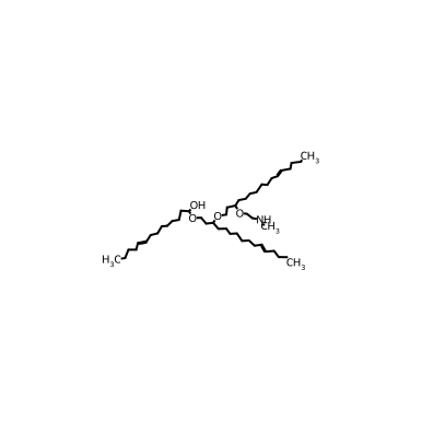 CCCC/C=C/CCCCCCCC(O)OCCC(CCCCCCC/C=C/CCCC)OCCC(CCCCCCC/C=C/CCCC)OCCNC